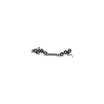 Cn1c2ccncc2c2ccc(-c3ccc(OCCCCOCCCCOC4CCN(c5ccc6c(c5)C(=O)N(C5CCC(=O)NC5=O)C6=O)CC4)nc3)cc21